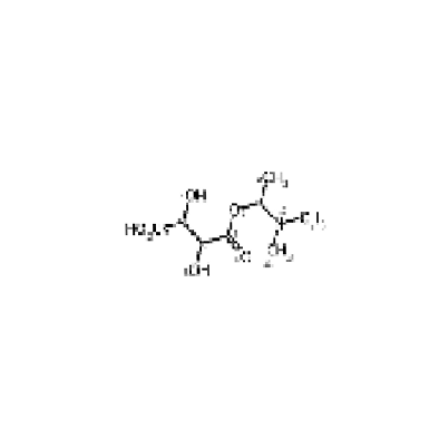 CC(OC(=O)C(O)C(O)C(=O)O)N(C)C